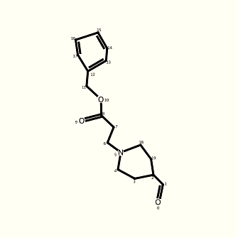 O=CC1CCN(CCC(=O)OCc2ccccc2)CC1